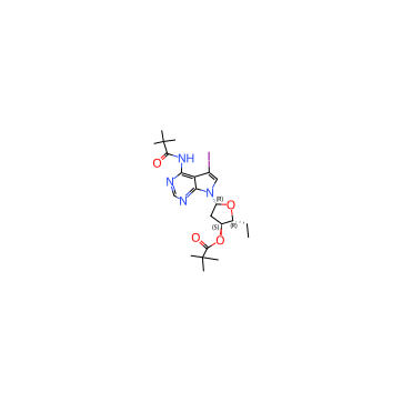 CC[C@H]1O[C@@H](n2cc(I)c3c(NC(=O)C(C)(C)C)ncnc32)C[C@@H]1OC(=O)C(C)(C)C